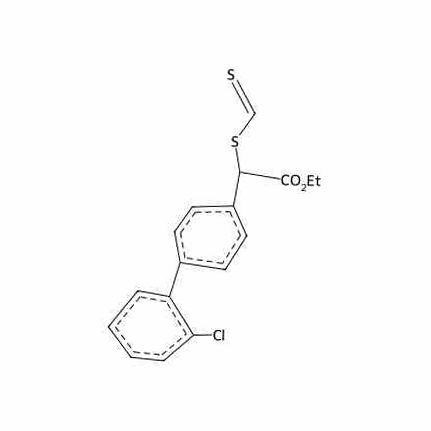 CCOC(=O)C(SC=S)c1ccc(-c2ccccc2Cl)cc1